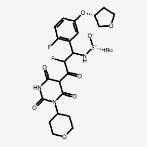 CC(C)(C)[S@@+]([O-])NC(c1cc(O[C@@H]2CCOC2)ccc1F)C(F)C(=O)C1C(=O)NC(=O)N(C2CCOCC2)C1=O